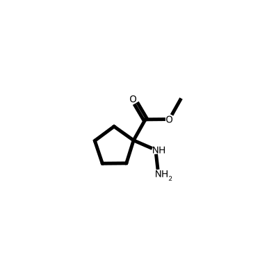 COC(=O)C1(NN)CCCC1